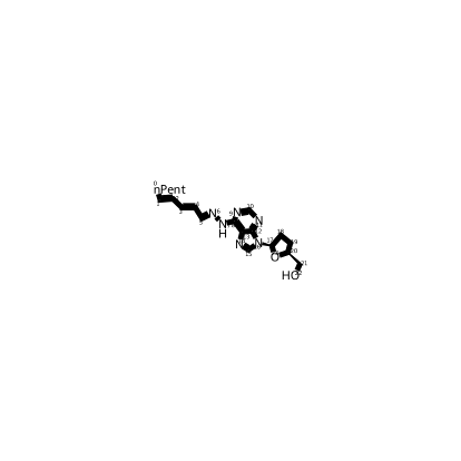 CCCCC/C=C/C=C/C=N/Nc1ncnc2c1ncn2[C@H]1CC[C@@H](CO)O1